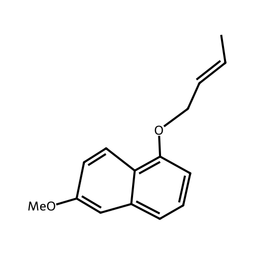 CC=CCOc1cccc2cc(OC)ccc12